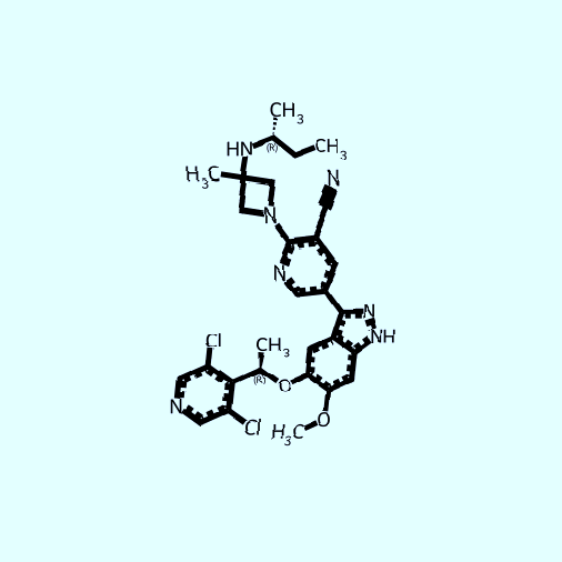 CC[C@@H](C)NC1(C)CN(c2ncc(-c3n[nH]c4cc(OC)c(O[C@H](C)c5c(Cl)cncc5Cl)cc34)cc2C#N)C1